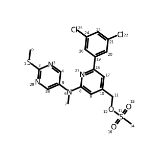 CSc1ncc(N(C)c2cc(COS(C)(=O)=O)cc(-c3cc(Cl)cc(Cl)c3)n2)cn1